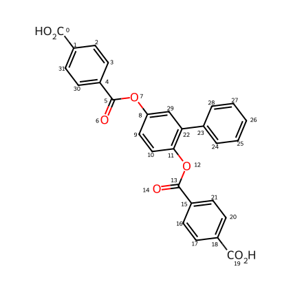 O=C(O)c1ccc(C(=O)Oc2ccc(OC(=O)c3ccc(C(=O)O)cc3)c(-c3ccccc3)c2)cc1